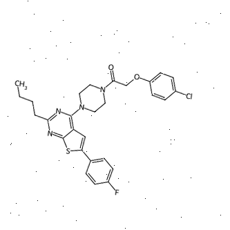 CCCCc1nc(N2CCN(C(=O)COc3ccc(Cl)cc3)CC2)c2cc(-c3ccc(F)cc3)sc2n1